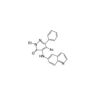 CCn1nc(-c2ccccc2)c(C(C)=O)c(Nc2ccc3ncccc3c2)c1=O